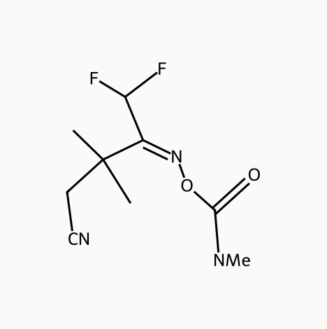 CNC(=O)ON=C(C(F)F)C(C)(C)CC#N